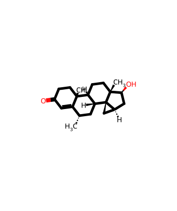 C[C@H]1C[C@@H]2[C@H](CC[C@]3(C)[C@@H](O)C[C@H]4C[C@@]423)[C@@]2(C)CCC(=O)C=C12